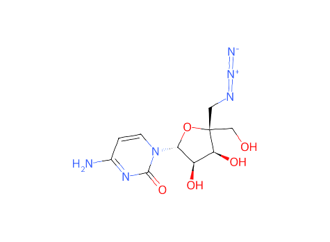 [N-]=[N+]=NC[C@]1(CO)O[C@@H](n2ccc(N)nc2=O)[C@H](O)[C@@H]1O